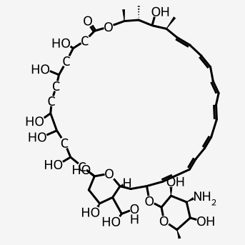 C[C@@H]1OC(=O)CC(O)CC(O)CCC(O)C(O)CC(O)CC2(O)C[C@H](O)C(C(O)O)[C@H](CC(OC3O[C@H](C)C(O)[C@H](N)[C@@H]3O)/C=C/C=C/C=C/C=C/C=C/C=C/C=C/[C@H](C)C(O)[C@H]1C)O2